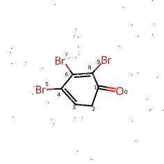 O=C1CC=C(Br)C(Br)=C1Br